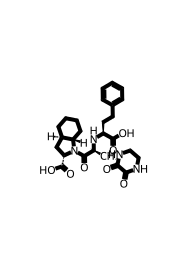 C[C@H](N[C@@H](CCc1ccccc1)C(=O)O)C(=O)N1[C@H](C(=O)O)C[C@H]2CCCC[C@@H]21.O=C1NCCNC1=O